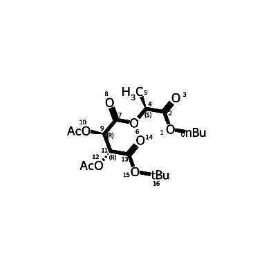 CCCCOC(=O)[C@H](C)OC(=O)[C@H](OC(C)=O)[C@@H](OC(C)=O)C(=O)OC(C)(C)C